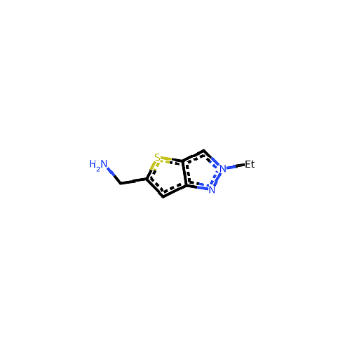 CCn1cc2sc(CN)cc2n1